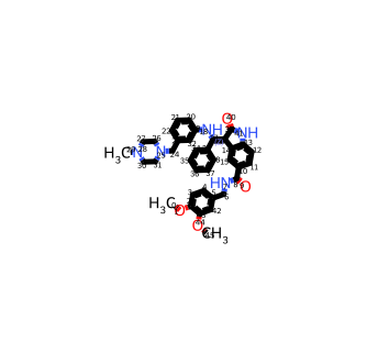 COc1ccc(CNC(=O)c2ccc3c(c2)/C(=C(/Nc2cccc(CN4CCN(C)CC4)c2)c2ccccc2)C(=O)N3)cc1OC